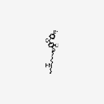 C=CCCNCCCCCCOc1ccc(C(=O)c2ccc(Br)cc2)cc1Cl